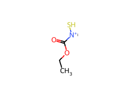 CCOC(=O)[N+]S